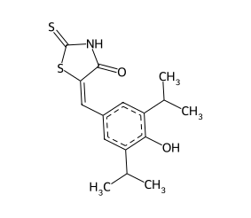 CC(C)c1cc(C=C2SC(=S)NC2=O)cc(C(C)C)c1O